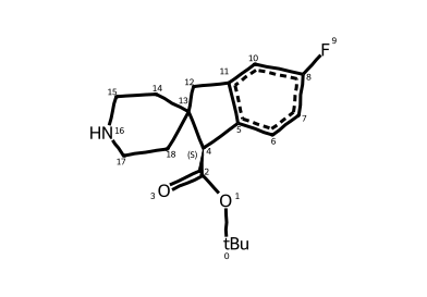 CC(C)(C)OC(=O)[C@@H]1c2ccc(F)cc2CC12CCNCC2